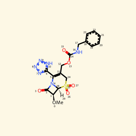 CO[C@H]1C(=O)N2C(c3nnn[nH]3)=C(COC(=O)NCc3ccccc3)CS(=O)(=O)[C@@H]12